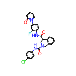 O=C(Nc1ccc(-n2ccccc2=O)cc1F)C1CN(C(=O)Nc2ccc(Cl)cc2)Cc2ccccc21